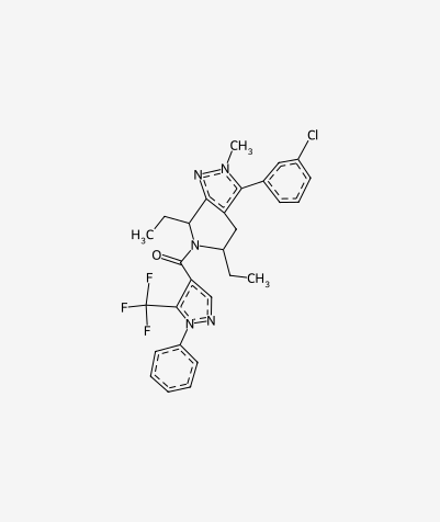 CCC1Cc2c(nn(C)c2-c2cccc(Cl)c2)C(CC)N1C(=O)c1cnn(-c2ccccc2)c1C(F)(F)F